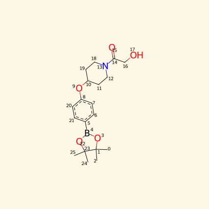 CC1(C)OB(c2ccc(OC3CCN(C(=O)CO)CC3)cc2)OC1(C)C